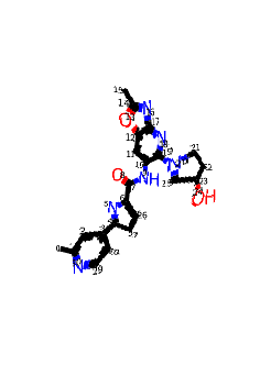 Cc1cc(C2=NC(C(=O)Nc3cc4oc(C)nc4nc3N3CCC(O)C3)=CC2)ccn1